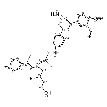 CCOc1cc(C(/C=C(\C)c2ccc(NC/C(C)=C/N(/C=C(\C)c3ccc(C)cc3)CC(CC)CCO)cc2)=C/NN)ccc1OC